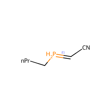 CCCC/[PH2]=C/C#N